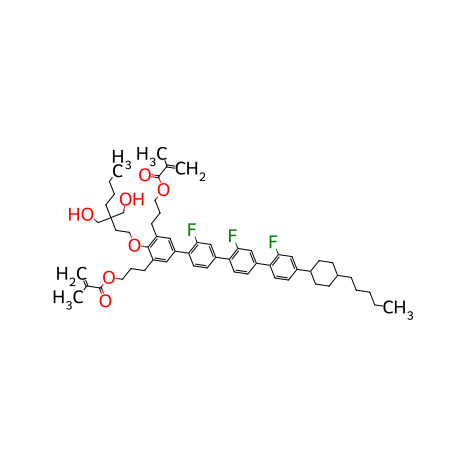 C=C(C)C(=O)OCCCc1cc(-c2ccc(-c3ccc(-c4ccc(C5CCC(CCCCC)CC5)cc4F)cc3F)cc2F)cc(CCCOC(=O)C(=C)C)c1OCCC(CO)(CO)CCCC